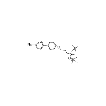 C[Si](C)(C)C[Si](C)(CCCOc1ccc(-c2ccc(C#N)cc2)cc1)O[Si](C)(C)C